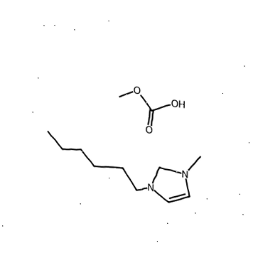 CCCCCCN1C=CN(C)C1.COC(=O)O